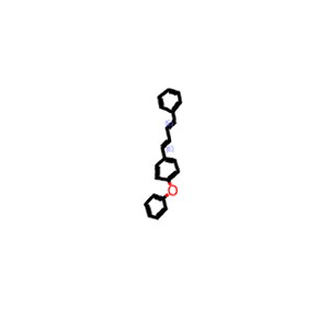 C(/C=C/c1ccc(Oc2ccccc2)cc1)=C\c1ccccc1